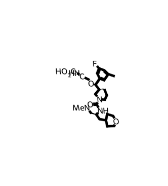 CNC[C@H](CC1CCOCC1)NC(=O)N1CCC[C@@H]([C@@H](OCCNC(=O)O)c2cc(C)cc(F)c2)C1